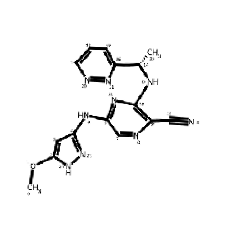 COc1cc(Nc2cnc(C#N)c(N[C@@H](C)c3cccnn3)n2)n[nH]1